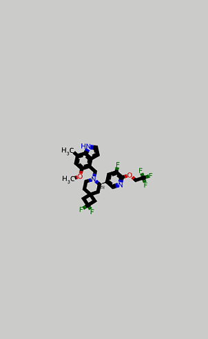 COc1cc(C)c2[nH]ccc2c1CN1CCC2(C[C@H]1c1cnc(OCC(F)(F)F)c(F)c1)CC(F)(F)C2